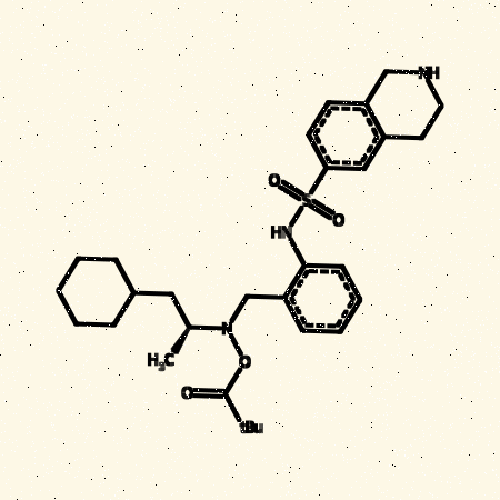 C[C@@H](CC1CCCCC1)N(Cc1ccccc1NS(=O)(=O)c1ccc2c(c1)CCNC2)OC(=O)C(C)(C)C